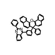 c1ccc(-c2nc(-c3cccc(C4(c5ccccc5)c5ccc6ccccc6c5Oc5c4ccc4ccccc54)c3)c3ccccc3n2)cc1